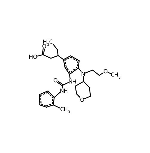 CCC(CC(=O)O)c1ccc(N(CCOC)C2CCOCC2)c(NC(=O)Nc2ccccc2C)c1